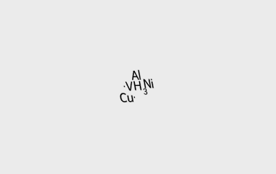 [AlH3].[Cu].[Ni].[V]